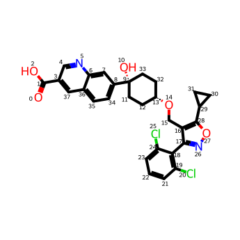 O=C(O)c1cnc2cc([C@]3(O)CC[C@@H](OCc4c(-c5c(Cl)cccc5Cl)noc4C4CC4)CC3)ccc2c1